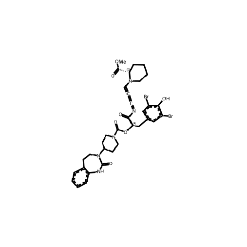 COC(=O)[C@@H]1CCCCN1C=C=C=NC(=O)[C@@H](Cc1cc(Br)c(O)c(Br)c1)OC(=O)N1CCC(N2CCc3ccccc3NC2=O)CC1